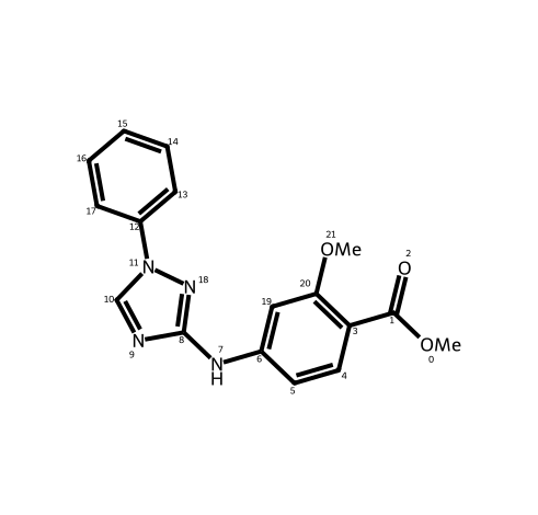 COC(=O)c1ccc(Nc2ncn(-c3ccccc3)n2)cc1OC